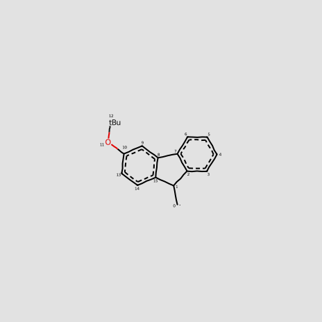 [CH2]C1c2ccccc2-c2cc(OC(C)(C)C)ccc21